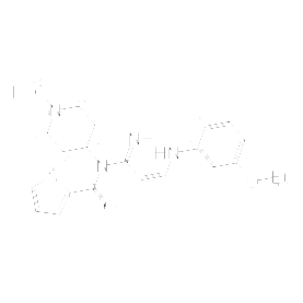 CCOc1cccc(N/C=C\C(=N)N(C(=O)c2cccs2)C2CCN(C)CC2)c1